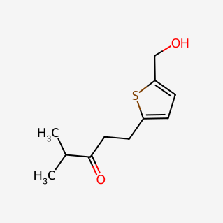 CC(C)C(=O)CCc1ccc(CO)s1